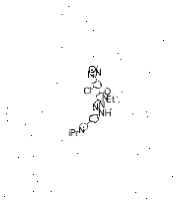 CCn1c(=O)c(-c2ccc(-c3noc(C)n3)cc2Cl)cc2cnc(Nc3ccc(C4CCN(C(C)C)CC4)cc3)nc21